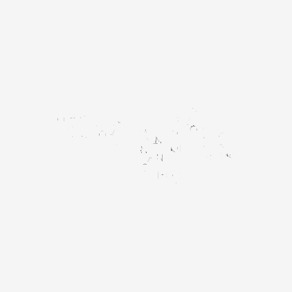 O=C(O)CN1C(=O)N(CCCC(=O)OCC2CCC3OC3C2)C(=O)N(CCCC(=O)OCC2CCC3OC3C2)C1O